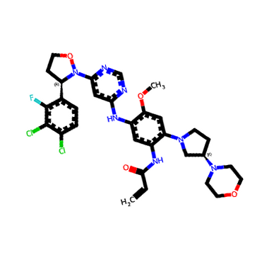 C=CC(=O)Nc1cc(Nc2cc(N3OCC[C@@H]3c3ccc(Cl)c(Cl)c3F)ncn2)c(OC)cc1N1CC[C@@H](N2CCOCC2)C1